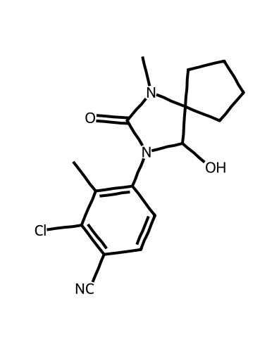 Cc1c(N2C(=O)N(C)C3(CCCC3)C2O)ccc(C#N)c1Cl